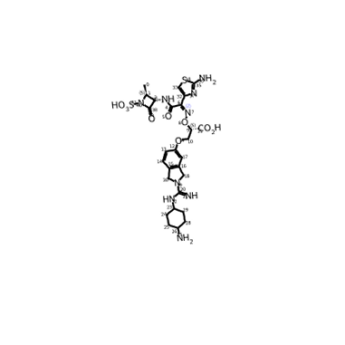 C[C@H]1[C@H](NC(=O)/C(=N\O[C@@H](COc2ccc3c(c2)CN(C(=N)NC2CCC(N)CC2)C3)C(=O)O)c2csc(N)n2)C(=O)N1S(=O)(=O)O